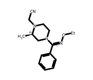 CCO/N=C(/c1ccccc1)N1CCN(CC#N)[C@H](C)C1